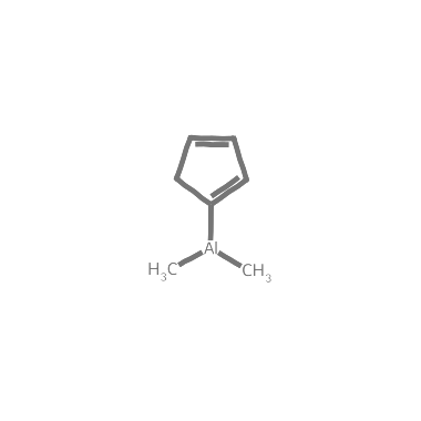 [CH3][Al]([CH3])[C]1=CC=CC1